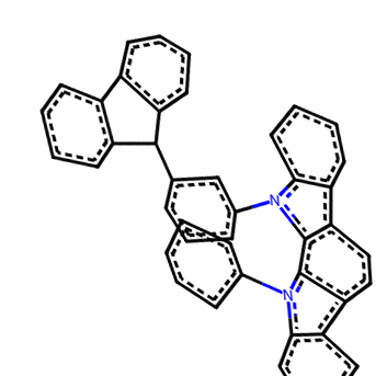 c1ccc(-n2c3ccccc3c3ccc4c5ccccc5n(-c5cccc(C6c7ccccc7-c7ccccc76)c5)c4c32)cc1